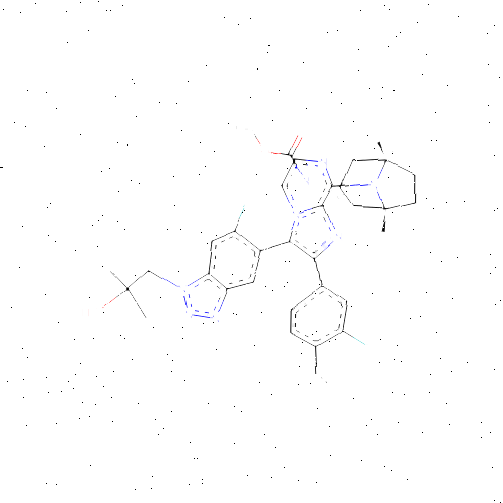 CC(C)(O)Cn1nnc2cc(-c3c(-c4ccc(C#N)c(F)c4)nc4c(N5[C@@H]6CC[C@H]5C[C@@H](NC(=O)OC(C)(C)C)C6)nccn34)c(F)cc21